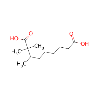 CC(CCCCCC(=O)O)C(C)(C)C(=O)O